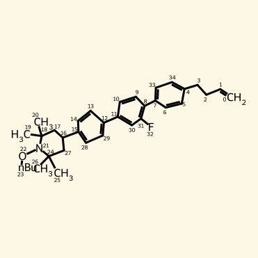 C=CCCc1ccc(-c2ccc(-c3ccc(C4CC(C)(C)N(OCCCC)C(C)(C)C4)cc3)cc2F)cc1